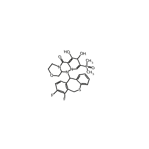 CP(C)(=O)C1=CN2C(=C(O)C1O)C(=O)N1CCOCC1N2C1c2ccccc2SCc2c1ccc(F)c2F